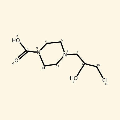 O=C(O)N1CCN(CC(O)CCl)CC1